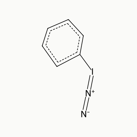 [N-]=[N+]=Ic1ccccc1